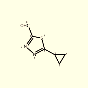 O=Cc1nnc(C2CC2)s1